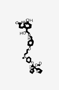 CN(CCCOc1ccc(CNC[C@H](O)c2ccc(O)c3[nH]c(=O)ccc23)cc1)[C@H]1CC[C@H](OC(=O)C(OC=O)(c2cccs2)c2cccs2)CC1